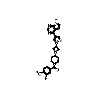 COc1ccc(C(=O)N2CCC(N3CC(n4cc(-c5ncnc6[nH]ccc56)cn4)C3)CC2)cc1F